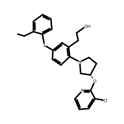 CCc1ccccc1Sc1ccc(N2CC[C@H](Oc3ncccc3Cl)C2)c(CCO)c1